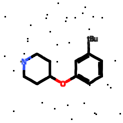 CC(C)(C)c1cccc(OC2CC[N]CC2)c1